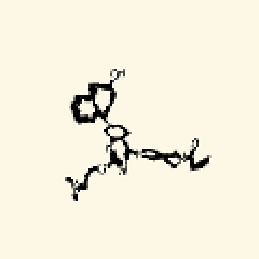 C=CC(=O)N1CC2(C1)CN(c1nc(OCCN(C)C)nc3c1CCN(c1cc(O)cc4ccccc14)C3)C2